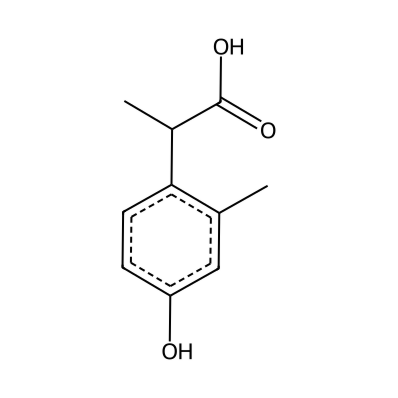 Cc1cc(O)ccc1C(C)C(=O)O